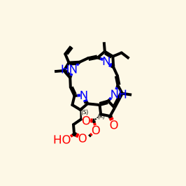 C=Cc1c(C)c2cc3nc(c4c5[nH]c(cc6nc(cc1[nH]2)C(C)=C6CC)c(C)c5C(=O)[C@@H]4C(=O)OC)[C@@H](CCC(=O)O)C3